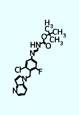 CC(C)(C)OC(=O)NC=Nc1cc(F)c(Cn2ccc3ncccc32)c(Cl)c1